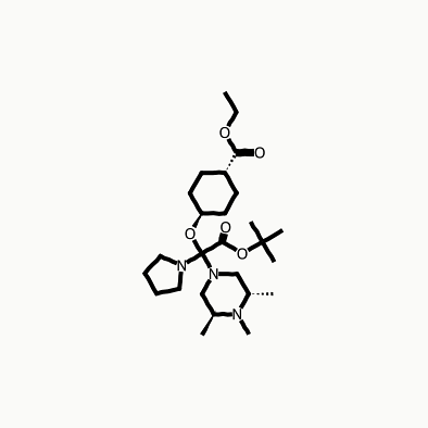 CCOC(=O)[C@H]1CC[C@H](OC(C(=O)OC(C)(C)C)(N2CCCC2)N2C[C@H](C)N(C)[C@@H](C)C2)CC1